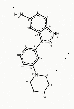 Nc1ccc2[nH]nc(-c3cccc(N4CCOCC4)c3)c2c1